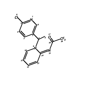 CC(c1ccc(Cl)nc1)n1cccc/c1=N/C(=O)C(F)(F)F